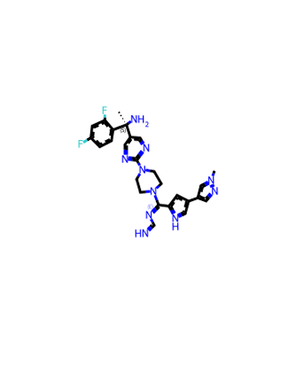 Cn1cc(-c2c[nH]c(/C(=N\C=N)N3CCN(c4ncc([C@](C)(N)c5ccc(F)cc5F)cn4)CC3)c2)cn1